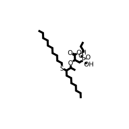 CCCCCCCCCCSC(CCCCCCC)C(C)OC(CP(=O)(O)OCCC)C(=O)O